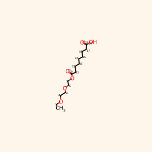 CCOCCOCCOC(=O)CCCCCCCC(=O)O